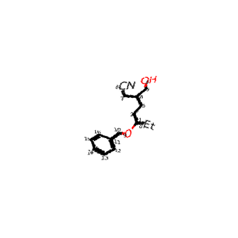 CCC(CCC(CO)CC#N)OCc1ccccc1